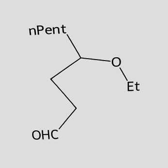 CCCCCC(CCC=O)OCC